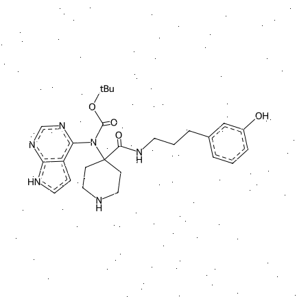 CC(C)(C)OC(=O)N(c1ncnc2[nH]ccc12)C1(C(=O)NCCCc2cccc(O)c2)CCNCC1